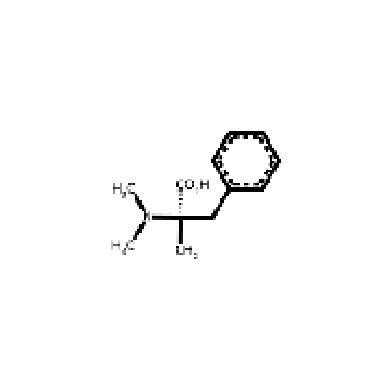 CN(C)[C@](C)(Cc1ccccc1)C(=O)O